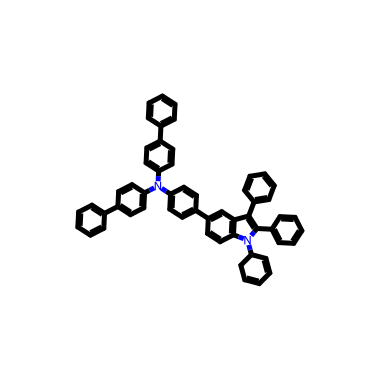 C1=CCC(n2c(-c3ccccc3)c(-c3ccccc3)c3cc(-c4ccc(N(c5ccc(-c6ccccc6)cc5)c5ccc(-c6ccccc6)cc5)cc4)ccc32)C=C1